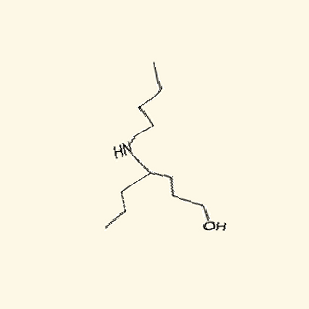 CCCCNC(CCC)CCCO